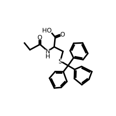 CCC(=O)NC(CSC(c1ccccc1)(c1ccccc1)c1ccccc1)C(=O)O